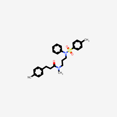 Cc1ccc(S(=O)(=O)N(CCCN(C)C(=O)CCc2ccc(C#N)cc2)c2ccccc2)cc1